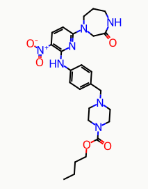 CCCCOC(=O)N1CCN(Cc2ccc(Nc3nc(N4CCCNC(=O)C4)ccc3[N+](=O)[O-])cc2)CC1